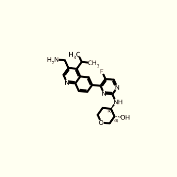 CC(C)c1c(CN)cnc2ccc(-c3nc(N[C@@H]4CCOC[C@H]4O)ncc3F)cc12